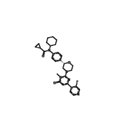 Cn1c(N2CCO[C@@H](c3ccc(N(C(=O)C4CC4)C4CCCCC4)cc3)C2)nc(-c2ccncc2F)cc1=O